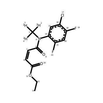 [2H]C([2H])([2H])N(C(=O)/C=C\C(=O)OCC)c1cc(Cl)c(F)cc1F